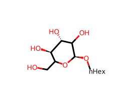 CCCCCCO[C@H]1OC(CO)[C@@H](O)[C@H](O)C1O